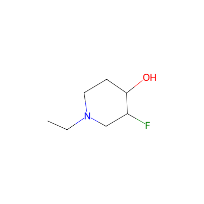 CCN1CCC(O)C(F)C1